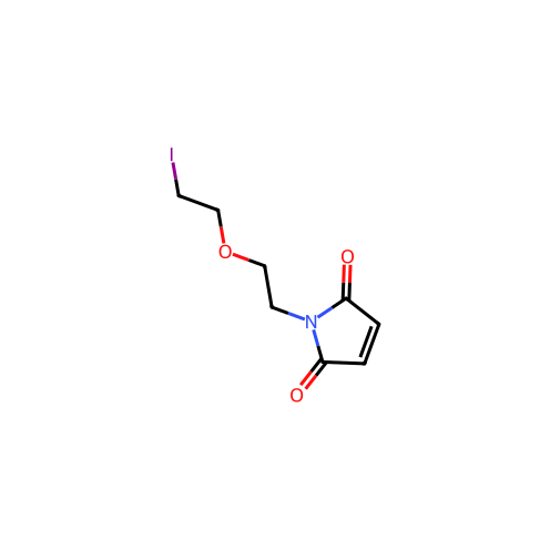 O=C1C=CC(=O)N1CCOCCI